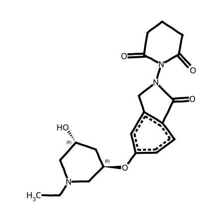 CCN1C[C@H](O)C[C@@H](Oc2ccc3c(c2)CN(N2C(=O)CCCC2=O)C3=O)C1